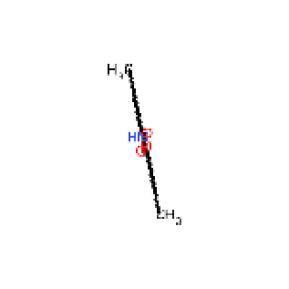 CCCCCCCCCCCCCCCCCCCCCC(=O)NCCOC(=O)CCCCCCCCCCCCCCCCCCCCC